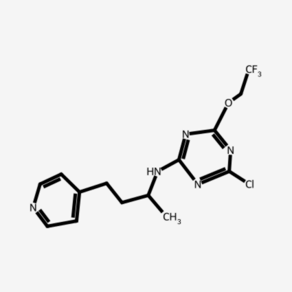 CC(CCc1ccncc1)Nc1nc(Cl)nc(OCC(F)(F)F)n1